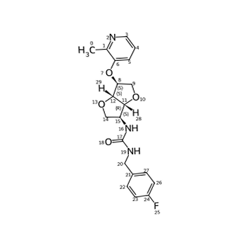 Cc1ncccc1O[C@H]1CO[C@H]2[C@@H]1OC[C@@H]2NC(=O)NCc1ccc(F)cc1